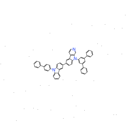 c1ccc(-c2ccc(-n3c4ccccc4c4cc(-c5ccc6c(c5)c5ccncc5n6-c5cc(-c6ccccc6)cc(-c6ccccc6)c5)ccc43)cc2)cc1